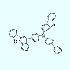 c1ccc(-c2ccc(N(c3ccc(-c4cc5c6ccccc6oc5c5ccccc45)cc3)c3ccc4c(c3)sc3ccccc34)cc2)cc1